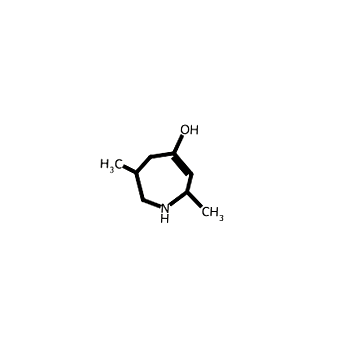 CC1CNC(C)C=C(O)C1